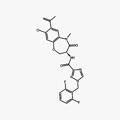 C=C(C)c1cc2c(cc1Cl)OC[C@H](NC(=O)c1ncn(Cc3c(F)cccc3F)n1)C(=O)N2C